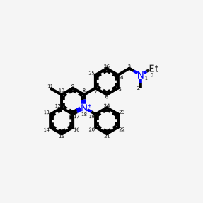 CCN(C)Cc1ccc(-c2cc(C)c3ccccc3[n+]2-c2ccccc2)cc1